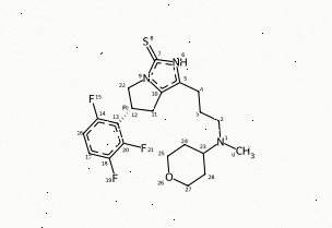 CN(CCCc1[nH]c(=S)n2c1C[C@H](c1c(F)ccc(F)c1F)C2)C1CCOCC1